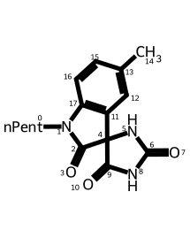 CCCCCN1C(=O)C2(NC(=O)NC2=O)c2cc(C)ccc21